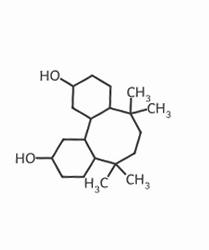 CC1(C)CCC(C)(C)C2CCC(O)CC2C2CC(O)CCC21